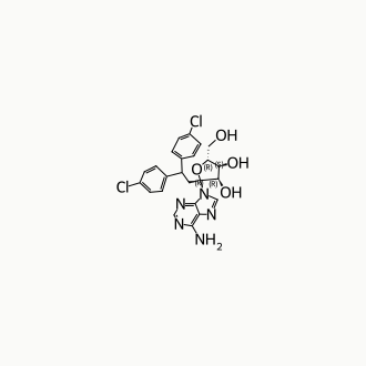 Nc1ncnc2c1ncn2[C@]1(CC(c2ccc(Cl)cc2)c2ccc(Cl)cc2)O[C@H](CO)[C@@H](O)[C@H]1O